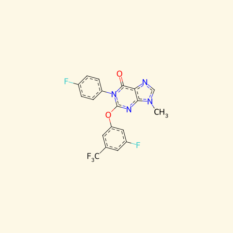 Cn1cnc2c(=O)n(-c3ccc(F)cc3)c(Oc3cc(F)cc(C(F)(F)F)c3)nc21